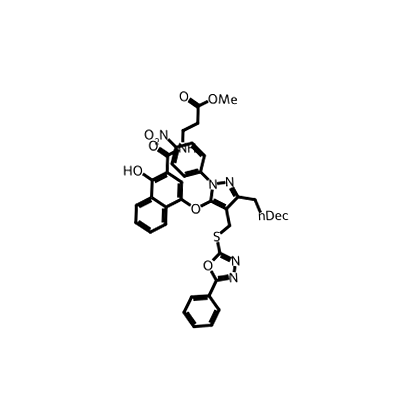 CCCCCCCCCCCc1nn(-c2ccc([N+](=O)[O-])cc2)c(Oc2cc(C(=O)NCCC(=O)OC)c(O)c3ccccc23)c1CSc1nnc(-c2ccccc2)o1